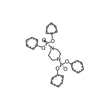 O=P(Oc1ccccc1)(Oc1ccccc1)N1CCN(P(=O)(Oc2ccccc2)Oc2ccccc2)CC1